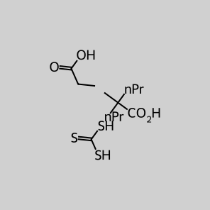 CCC(=O)O.CCCC(C)(CCC)C(=O)O.S=C(S)S